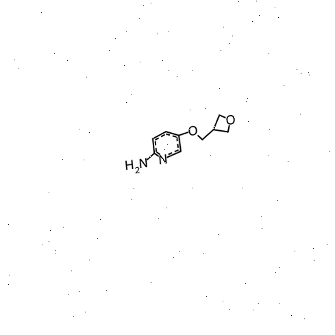 Nc1ccc(OCC2COC2)cn1